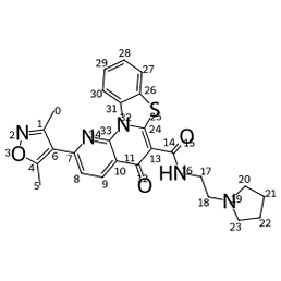 Cc1noc(C)c1-c1ccc2c(=O)c(C(=O)NCCN3CCCC3)c3sc4ccccc4n3c2n1